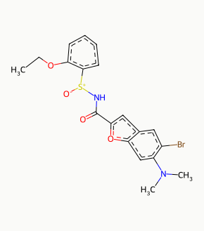 CCOc1ccccc1[S+]([O-])NC(=O)c1cc2cc(Br)c(N(C)C)cc2o1